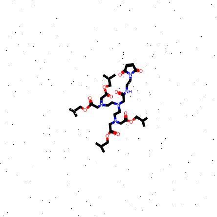 CC(C)COC(=O)CN(CCN(CCN(CC(=O)OCC(C)C)CC(=O)OCC(C)C)CC(=O)NCCN1C(=O)C=CC1=O)CC(=O)OCC(C)C